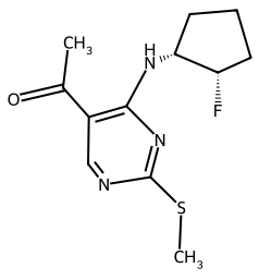 CSc1ncc(C(C)=O)c(N[C@@H]2CCC[C@@H]2F)n1